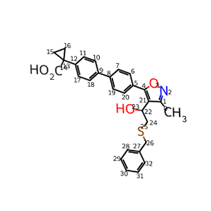 Cc1noc(-c2ccc(-c3ccc(C4(C(=O)O)CC4)cc3)cc2)c1[C@H](O)CSCc1ccccc1